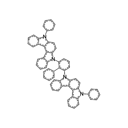 c1ccc(-c2c(-n3c4ccccc4c4c5c6ccccc6n(-c6ccccc6)c5ccc43)cccc2-n2c3ccccc3c3c4c5ccccc5n(-c5ccccc5)c4ccc32)cc1